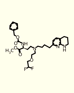 COC(=O)[C@H](CCN(CCCCc1ccc2c(n1)NCCC2)CCOCC(F)F)NC(=O)OCc1ccccc1